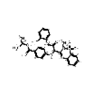 Cc1ccccc1NC(=O)C(Oc1ccc(C(=O)OC(C)C)cc1)C1=Nc2ccccc2S(=O)(=O)N1C